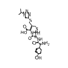 CC(C)n1cc(SCC2=C(C(=O)O)N3C(=O)[C@@H](NC(=O)[C@H](N)c4ccc(O)cc4)[C@H]3SC2)nn1